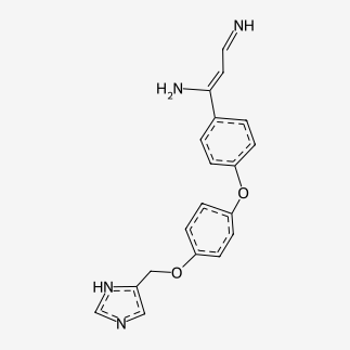 N=C/C=C(\N)c1ccc(Oc2ccc(OCc3cnc[nH]3)cc2)cc1